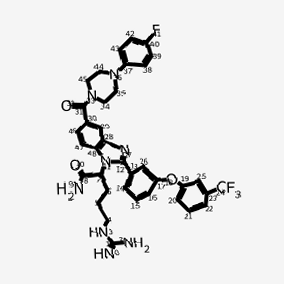 N=C(N)NCCCC(C(N)=O)n1c(-c2cccc(Oc3cccc(C(F)(F)F)c3)c2)nc2cc(C(=O)N3CCN(c4ccc(F)cc4)CC3)ccc21